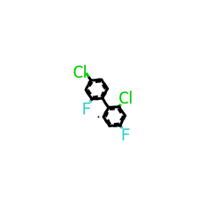 Fc1c[c]c(-c2ccc(Cl)cc2F)c(Cl)c1